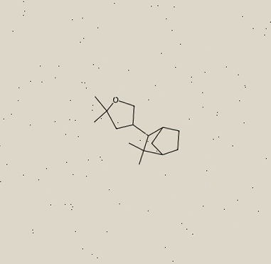 CC1(C)CC(C2C3CCC(C3)C2(C)C)CO1